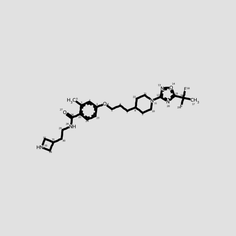 Cc1cc(OCCCC2CCN(c3noc(C(C)(F)F)n3)CC2)ccc1C(=O)NCCC1CNC1